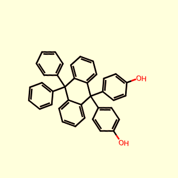 Oc1ccc(C2(c3ccc(O)cc3)c3ccccc3C(c3ccccc3)(c3ccccc3)c3ccccc32)cc1